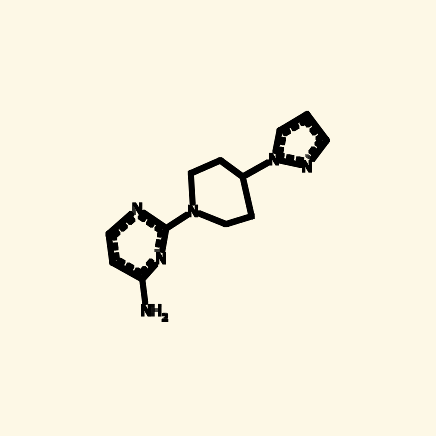 Nc1ccnc(N2CCC(n3cccn3)CC2)n1